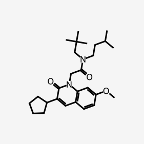 COc1ccc2cc(C3CCCC3)c(=O)n(CC(=O)N(CCC(C)C)CC(C)(C)C)c2c1